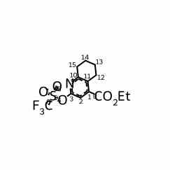 CCOC(=O)c1cc(OS(=O)(=O)C(F)(F)F)nc2c1CCCC2